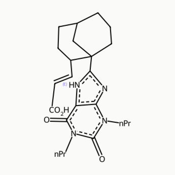 CCCn1c(=O)c2[nH]c(C34CCCC(CCC3/C=C/C(=O)O)C4)nc2n(CCC)c1=O